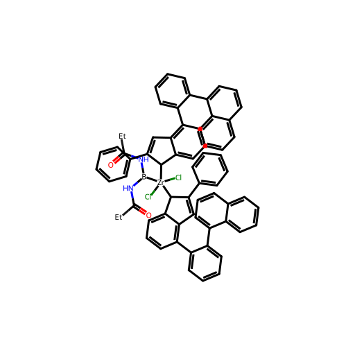 CCC(=O)N[B](NC(=O)CC)[Zr]([Cl])([Cl])([CH]1C(c2ccccc2)=Cc2c(-c3ccccc3-c3cccc4ccccc34)cccc21)[CH]1C(c2ccccc2)=Cc2c(-c3ccccc3-c3cccc4ccccc34)cccc21